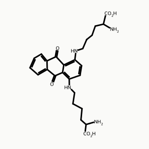 NC(CCCCNc1ccc(NCCCCC(N)C(=O)O)c2c1C(=O)c1ccccc1C2=O)C(=O)O